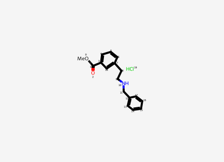 COC(=O)c1cccc(CCNCc2ccccc2)c1.Cl